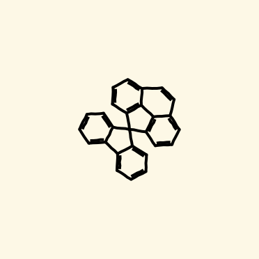 c1ccc2c(c1)-c1ccccc1C21c2cccc3ccc4cccc1c4c23